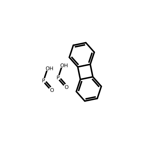 O=PO.O=PO.c1ccc2c(c1)-c1ccccc1-2